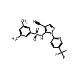 Cc1cc(C)cc(S(=O)(=O)Nc2c(C#N)cnn2-c2ccc(C(F)(F)F)cn2)c1